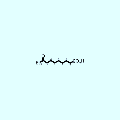 CCC(=O)CCCCCCCC(=O)O